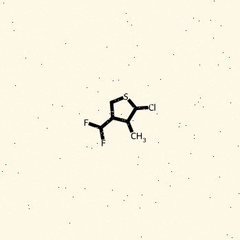 CC1C(Cl)SCC1C(F)F